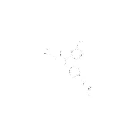 COc1cccc(/C(=C\c2ccc(/C=C/C(=O)NO)cc2)C(=O)NC2CC2)c1